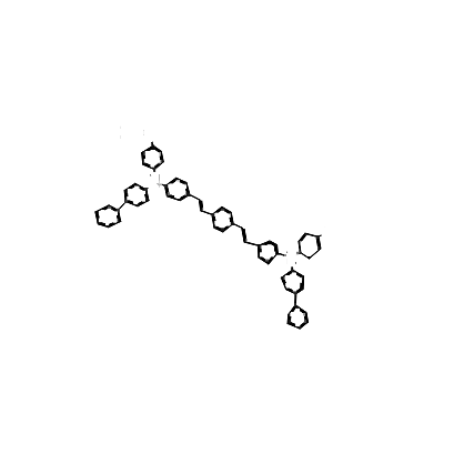 CC1=CCC(N(c2ccc(C=Cc3ccc(C=Cc4ccc(N(c5ccc(C)cc5)c5ccc(-c6ccccc6)cc5)cc4)cc3)cc2)c2ccc(-c3ccccc3)cc2)C=C1